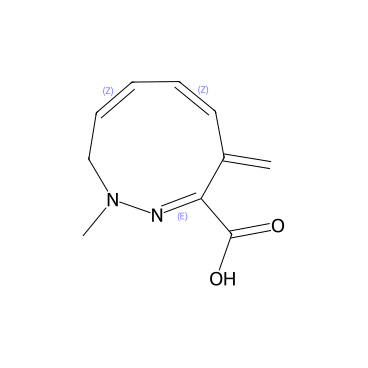 C=C1/C=C\C=C/CN(C)/N=C\1C(=O)O